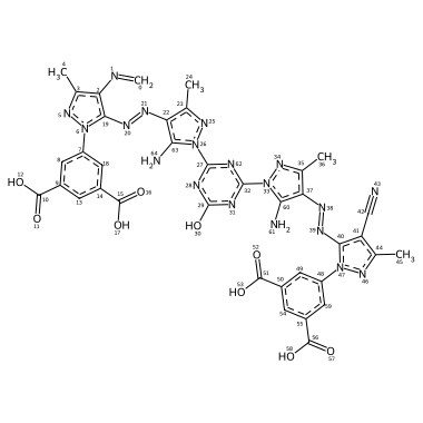 C=Nc1c(C)nn(-c2cc(C(=O)O)cc(C(=O)O)c2)c1N=Nc1c(C)nn(-c2nc(O)nc(-n3nc(C)c(N=Nc4c(C#N)c(C)nn4-c4cc(C(=O)O)cc(C(=O)O)c4)c3N)n2)c1N